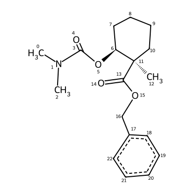 CN(C)C(=O)O[C@H]1CCCC[C@@]1(C)C(=O)OCc1ccccc1